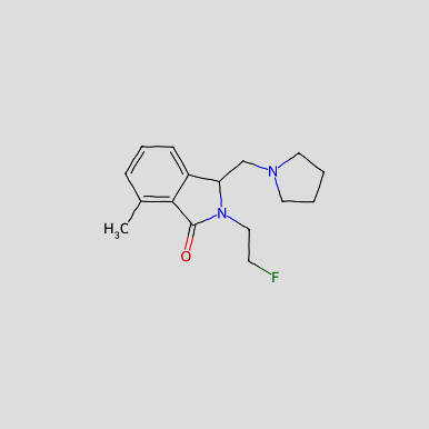 Cc1cccc2c1C(=O)N(CCF)C2CN1CCCC1